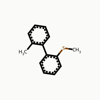 CSc1ccccc1-c1ccccc1C